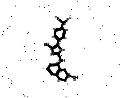 CCc1nc(Nc2cccc3c2C[C@@H](O)CC3)oc1-c1ccc(C(F)F)cc1